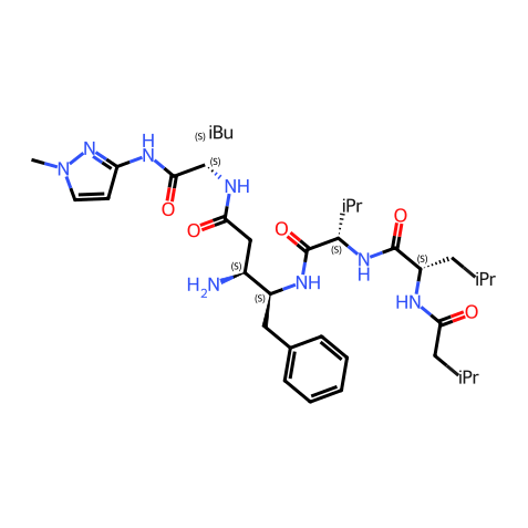 CC[C@H](C)[C@H](NC(=O)C[C@H](N)[C@H](Cc1ccccc1)NC(=O)[C@@H](NC(=O)[C@H](CC(C)C)NC(=O)CC(C)C)C(C)C)C(=O)Nc1ccn(C)n1